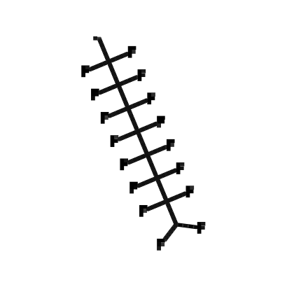 [CH2]C(F)(F)C(F)(F)C(F)(F)C(F)(F)C(F)(F)C(F)(F)C(F)(F)C(F)F